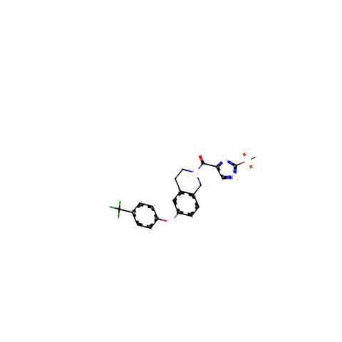 CS(=O)(=O)c1nc(C(=O)N2CCc3cc(Oc4ccc(C(F)(F)F)cc4)ccc3C2)c[nH]1